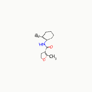 CCC(C)C1CCCCC1NC(=O)C1=C(C)OCC1